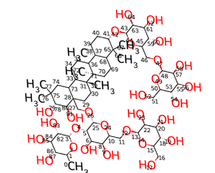 CC1O[C@@H](O[C@H]2C(O)[C@H](O)C(CO[C@@H]3OC(CO)[C@@H](O)C(O)[C@@H]3O)O[C@H]2OCC23CC[C@]4(C)C(=CCC5[C@@]6(C)CC[C@H](O[C@@H]7OC(CO[C@@H]8OC(CO)[C@@H](O)C(O)[C@@H]8O)[C@@H](O)C(O)[C@@H]7O)C(C)(C)C6CC[C@]54C)C2CC(C)(C)[C@@H](O)[C@@H]3O)[C@@H](O)C(O)[C@H]1O